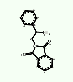 NC(CN1C(=O)c2ccccc2C1=O)c1ccccc1